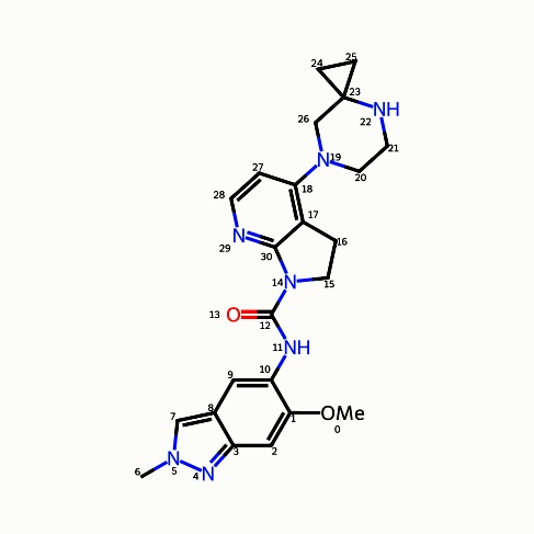 COc1cc2nn(C)cc2cc1NC(=O)N1CCc2c(N3CCNC4(CC4)C3)ccnc21